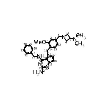 COc1cc(CN2CC(N(C)C)C2)ccc1Cn1ccc2nc(N)nc(NCc3ccccc3)c21